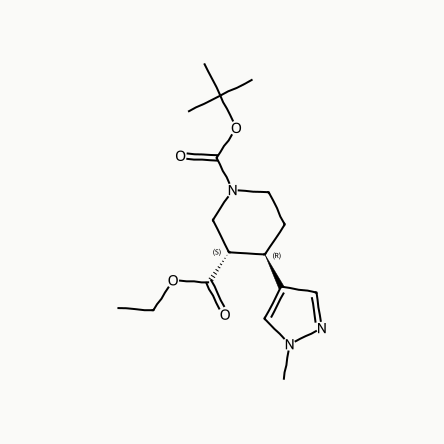 CCOC(=O)[C@@H]1CN(C(=O)OC(C)(C)C)CC[C@H]1c1cnn(C)c1